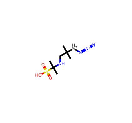 CC(C)(CNC(C)(C)S(=O)(=O)O)[SiH2]N=[N+]=[N-]